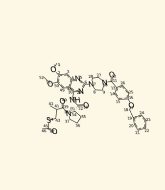 COc1cc2nc(N3CCN(C(=O)c4ccc(OCc5ccccc5)cc4)CC3)nc(NC(=O)[C@@H]3CCCN3C(=O)C(C)CSC(C)=O)c2cc1OC